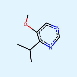 COc1cncnc1C(C)C